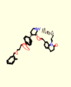 COCCCN1C(=O)CCc2ccc(CO[C@H]3CNCC[C@@H]3c3ccc(OCCCOCc4ccccc4C)cc3)cc21